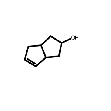 OC1CC2C=CCC2C1